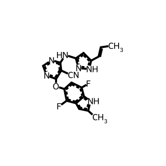 C/C=C/c1cc(Nc2ncnc(Oc3cc(F)c4[nH]c(C)cc4c3F)c2C#N)n[nH]1